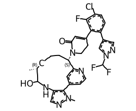 C[C@@H]1CCC[C@H](N2CCC(c3c(-c4cnn(C(F)F)c4)ccc(Cl)c3F)=CC2=O)c2cc(ccn2)-c2c(cnn2C)NC1O